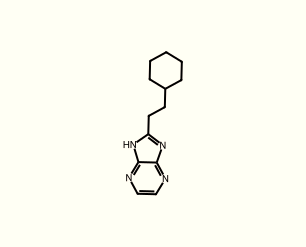 c1cnc2[nH]c(CCC3CCCCC3)nc2n1